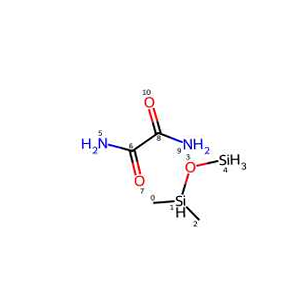 C[SiH](C)O[SiH3].NC(=O)C(N)=O